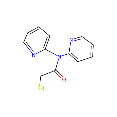 O=C(CS)N(c1ccccn1)c1ccccn1